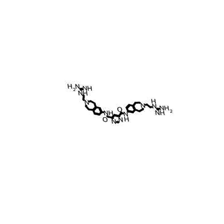 N=C(N)NCCN1CCc2ccc(NC(=O)c3cc(C(=O)Nc4ccc5c(c4)CCN(CCNC(=N)N)CC5)ncn3)cc2CC1